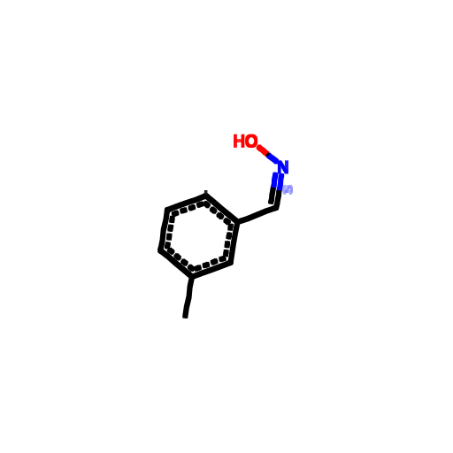 Cc1cc[c]c(/C=N\O)c1